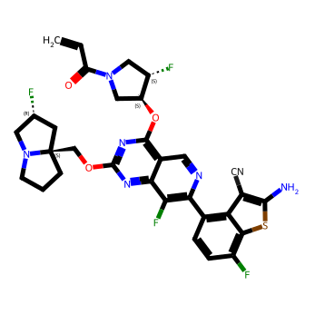 C=CC(=O)N1C[C@H](Oc2nc(OC[C@@]34CCCN3C[C@H](F)C4)nc3c(F)c(-c4ccc(F)c5sc(N)c(C#N)c45)ncc23)[C@@H](F)C1